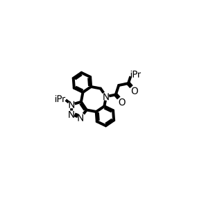 CC(C)C(=O)CC(=O)N1Cc2ccccc2-c2c(nnn2C(C)C)-c2ccccc21